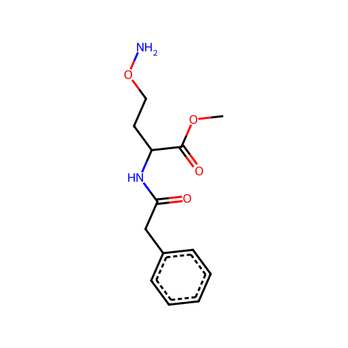 COC(=O)C(CCON)NC(=O)Cc1ccccc1